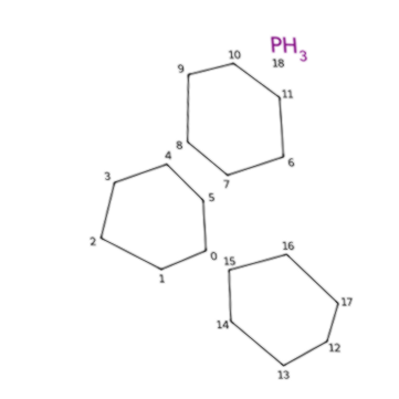 C1CCCCC1.C1CCCCC1.C1CCCCC1.P